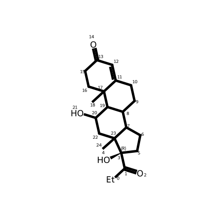 CCC(=O)[C@@]1(O)CCC2C3CCC4=CC(=O)CCC4(C)C3C(O)CC21C